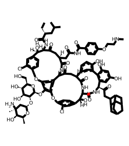 CC[C@H](CC(C)C)C(=O)N[C@H]1C(=O)C[C@@H](CC(=O)NC(=O)c2ccc(OCCNC)cc2)C(=O)N[C@H]2C(=O)C[C@H]3C(=O)N[C@H](C(=O)N[C@H](C(=O)CC4C5CC6CC(C5)CC4C6)c4cc(O)cc(O)c4-c4cc3ccc4O)[C@H](O)c3ccc(c(Cl)c3)Oc3cc2cc(c3O[C@@H]2O[C@H](CO)[C@@H](O)[C@H](O)[C@H]2O[C@H]2C[C@](C)(N)[C@H](O)[C@H](C)O2)Oc2ccc(cc2Cl)[C@H]1O